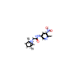 Cc1ncc(NC(=O)CN2C[C@H]3CC[C@@H]2C3)cc1[N+](=O)[O-]